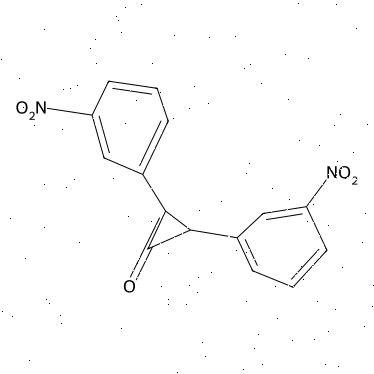 O=C1C(c2cccc([N+](=O)[O-])c2)C1c1cccc([N+](=O)[O-])c1